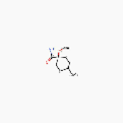 COC1CCC(OC(C)(C)C)(C([NH])=O)CC1